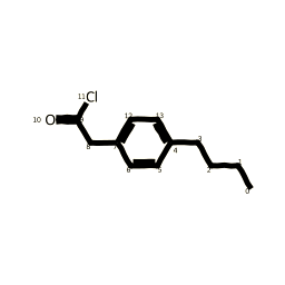 CCCCc1ccc(CC(=O)Cl)cc1